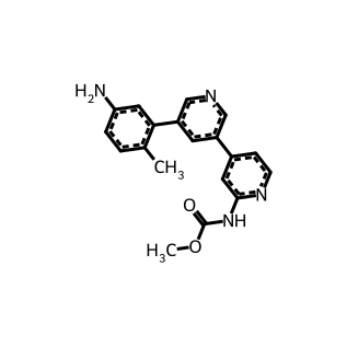 COC(=O)Nc1cc(-c2cncc(-c3cc(N)ccc3C)c2)ccn1